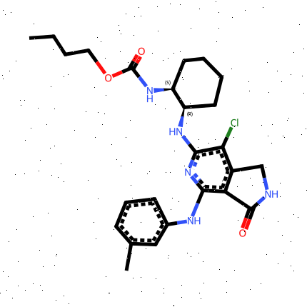 CCCCOC(=O)N[C@H]1CCCC[C@H]1Nc1nc(Nc2cccc(C)c2)c2c(c1Cl)CNC2=O